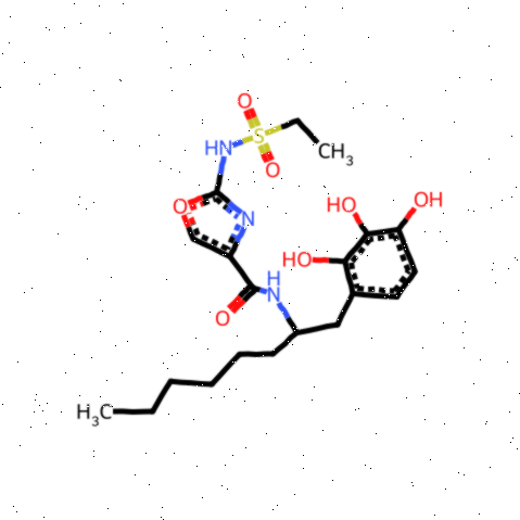 CCCCCCC(Cc1ccc(O)c(O)c1O)NC(=O)c1coc(NS(=O)(=O)CC)n1